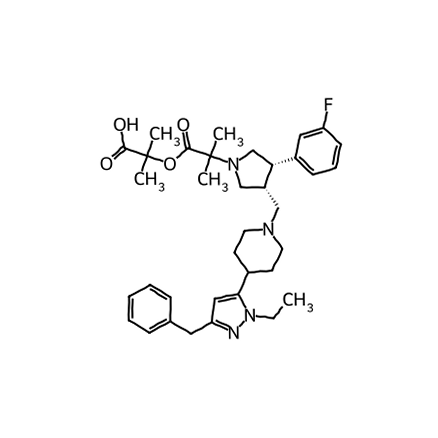 CCn1nc(Cc2ccccc2)cc1C1CCN(C[C@@H]2CN(C(C)(C)C(=O)OC(C)(C)C(=O)O)C[C@@H]2c2cccc(F)c2)CC1